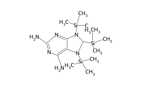 C[Si](C)(C)C1N([Si](C)(C)C)c2nc(N)nc(N)c2N1[Si](C)(C)C